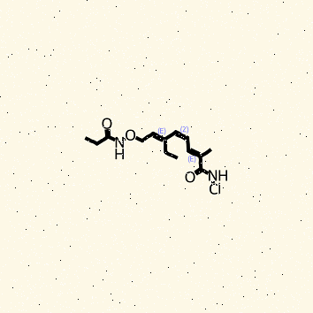 CCC(=O)NOC/C=C(/C=C\C=C(/C)C(=O)NCl)CC